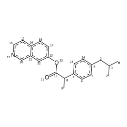 CC(C)Cc1ccc(C(C)C(=O)Oc2ccc3ccncc3c2)cc1